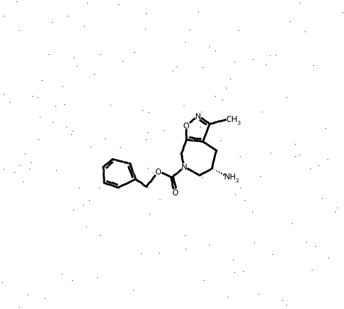 Cc1noc2c1C[C@H](N)CN(C(=O)OCc1ccccc1)C2